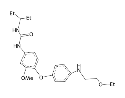 CCOCCNc1ccc(Oc2ccc(NC(=O)NC(CC)CC)cc2OC)cc1